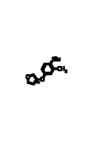 Cc1cc(O[C@@H]2CCOC2)ccc1C(C)(C)C